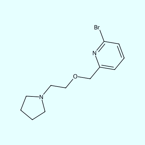 Brc1cccc(COCCN2CCCC2)n1